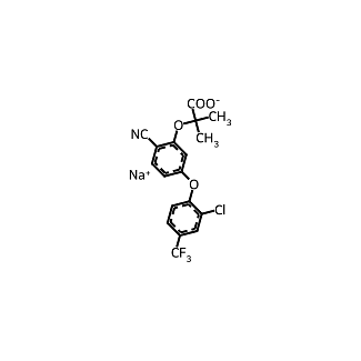 CC(C)(Oc1cc(Oc2ccc(C(F)(F)F)cc2Cl)ccc1C#N)C(=O)[O-].[Na+]